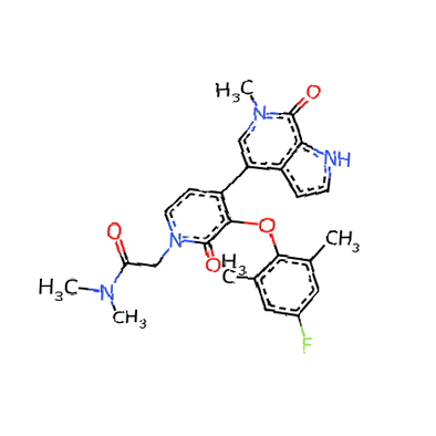 Cc1cc(F)cc(C)c1Oc1c(-c2cn(C)c(=O)c3[nH]ccc23)ccn(CC(=O)N(C)C)c1=O